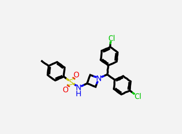 Cc1ccc(S(=O)(=O)NC2CN(C(c3ccc(Cl)cc3)c3ccc(Cl)cc3)C2)cc1